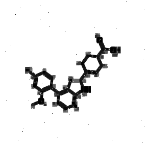 COc1cc(F)ccc1-c1ccnc2[nH]c(C3=CCC(C(=O)O)CC3)cc12